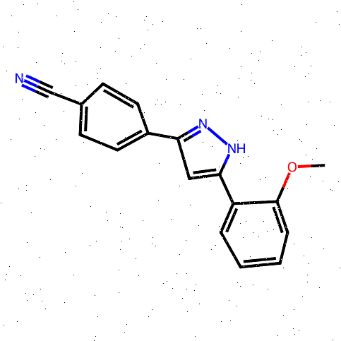 COc1ccccc1-c1cc(-c2ccc(C#N)cc2)n[nH]1